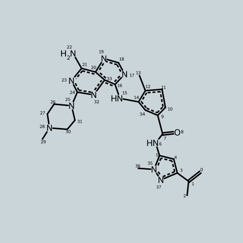 C=C(C)c1cc(NC(=O)c2ccc(C)c(Nc3ncnc4c(N)nc(N5CCN(C)CC5)nc34)c2)n(C)n1